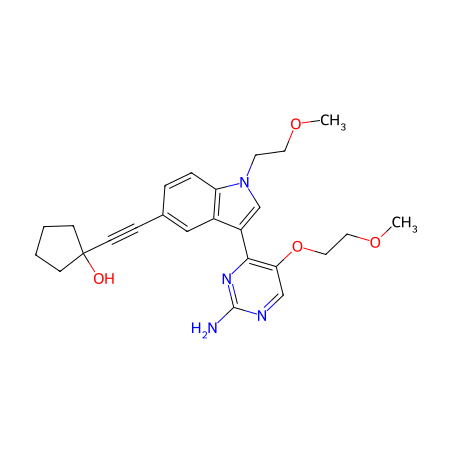 COCCOc1cnc(N)nc1-c1cn(CCOC)c2ccc(C#CC3(O)CCCC3)cc12